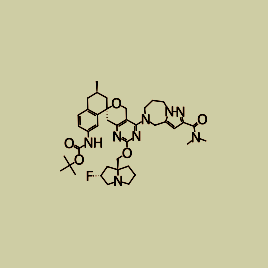 C[C@@H]1Cc2ccc(NC(=O)OC(C)(C)C)cc2[C@@]2(Cc3nc(OC[C@@]45CCCN4C[C@H](F)C5)nc(N4CCCn5nc(C(=O)N(C)C)cc5C4)c3CO2)C1